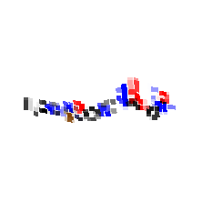 CN1CCN(C2=NC(=O)/C(=C\c3ccc(N4CCC(NC[C@H](O)COc5cccc6[nH]c(=O)[nH]c56)CC4)cc3)S2)CC1